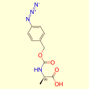 C[C@@H](NC(=O)OCc1ccc(N=[N+]=[N-])cc1)C(=O)O